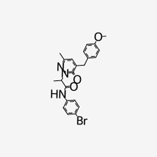 COc1ccc(Cc2cc(C)nn(C(C)C(=O)Nc3ccc(Br)cc3)c2=O)cc1